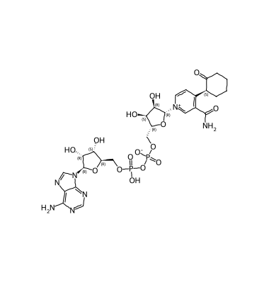 NC(=O)c1c[n+]([C@@H]2O[C@H](COP(=O)([O-])OP(=O)(O)OC[C@H]3O[C@@H](n4cnc5c(N)ncnc54)[C@H](O)[C@@H]3O)[C@@H](O)[C@H]2O)ccc1[C@@H]1CCCCC1=O